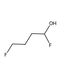 OC(F)CCCF